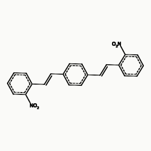 O=[N+]([O-])c1ccccc1/C=C/c1ccc(/C=C/c2ccccc2[N+](=O)[O-])cc1